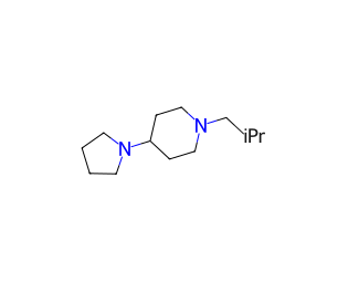 CC(C)CN1CCC(N2CCCC2)CC1